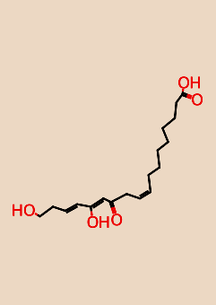 O=C(O)CCCCCCC/C=C\CC(=O)/C=C(O)/C=C/CCO